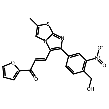 Cc1cn2c(/C=C/C(=O)c3ccco3)c(-c3ccc(CO)c([N+](=O)[O-])c3)nc2s1